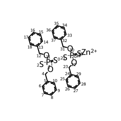 S=P([S-])(OCc1ccccc1)OCc1ccccc1.S=P([S-])(OCc1ccccc1)OCc1ccccc1.[Zn+2]